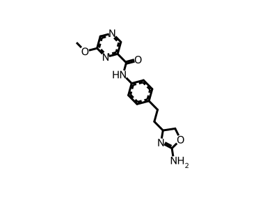 COc1cncc(C(=O)Nc2ccc(CCC3COC(N)=N3)cc2)n1